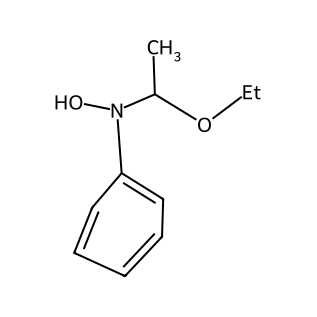 CCOC(C)N(O)c1ccccc1